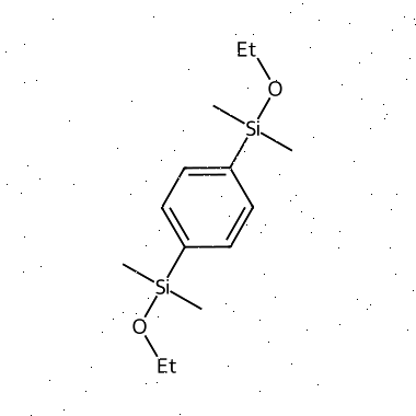 CCO[Si](C)(C)c1ccc([Si](C)(C)OCC)cc1